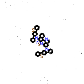 c1ccc2c(c1)sc1cc3c4ccccc4n(-c4ccc5c(-c6c7ccccc7c(-n7c8ccccc8c8cc9sc%10ccccc%10c9cc87)c7nsnc67)nccc5c4)c3cc12